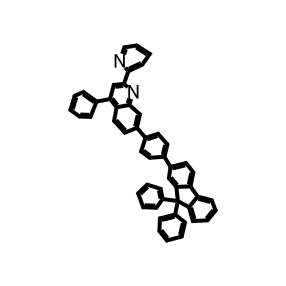 c1ccc(-c2cc(-c3ccccn3)nc3cc(-c4ccc(-c5ccc6c(c5)C(c5ccccc5)(c5ccccc5)c5ccccc5-6)cc4)ccc23)cc1